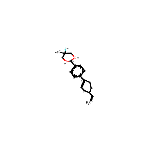 C=CC1CC=C(c2ccc(C3OCC(F)(CCC)CO3)cc2)CC1